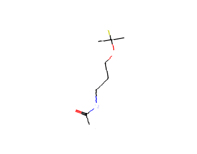 CC(C)(S)OCCCNC(=O)C(C)(C)C